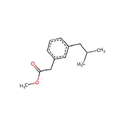 COC(=O)Cc1cccc(CC(C)C)c1